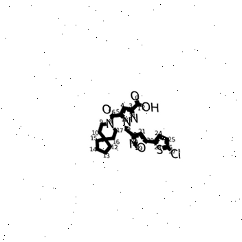 O=C(O)c1cc(C(=O)N2CCC3(CCCC3)CC2)n(Cc2cc(-c3ccc(Cl)s3)on2)n1